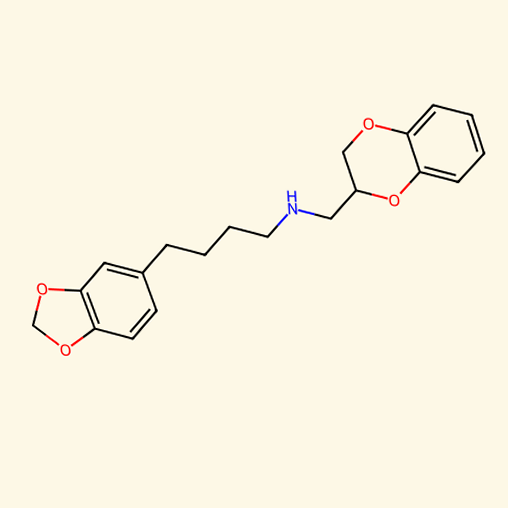 c1ccc2c(c1)OCC(CNCCCCc1ccc3c(c1)OCO3)O2